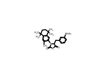 CC(=O)Nc1cccc(CC2C(=O)SC(=O)N2c2cc3c(cc2C)C(C)(C)CCC3(C)C)c1